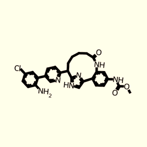 COC(=O)Nc1ccc2c(c1)NC(=O)CCCCC(c1ccc(-c3cc(Cl)ccc3N)cn1)c1nc-2c[nH]1